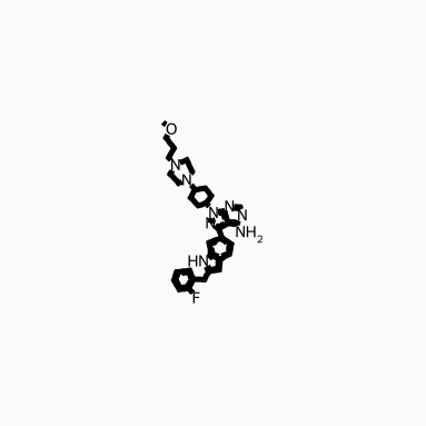 COCCCN1CCN(C2CCC(n3nc(-c4ccc5cc(Cc6ccccc6F)[nH]c5c4)c4c(N)ncnc43)CC2)CC1